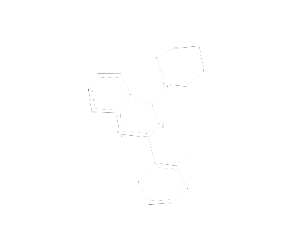 Clc1ccccc1-c1nc(N2CCCCC2)c2ccccc2n1